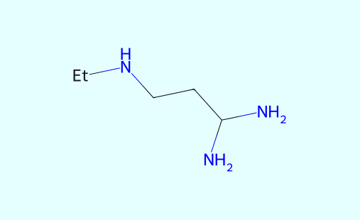 CCNCCC(N)N